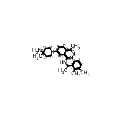 Cc1cccc([C@@H](C)Nc2nnc(C)c3ccc(N4CCC(C)(N)CC4)cc23)c1C